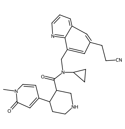 Cn1ccc(C2CCNCC2C(=O)N(Cc2cc(CCC#N)cc3cccnc23)C2CC2)cc1=O